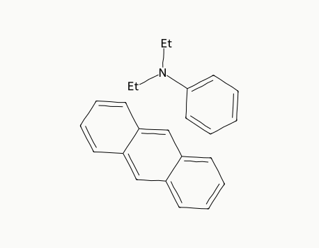 CCN(CC)c1ccccc1.c1ccc2cc3ccccc3cc2c1